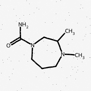 CC1CN(C(N)=O)CCCN1C